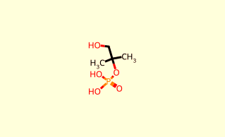 CC(C)(CO)OP(=O)(O)O